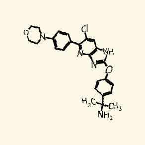 CC(C)(N)c1ccc(Oc2nc3nc(-c4ccc(N5CCOCC5)cc4)c(Cl)cc3[nH]2)cc1